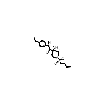 CCCCS(=O)(=O)N1CCC(N)(C(=O)Nc2ccc(CC)cc2)CC1